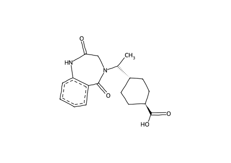 CC([C@H]1CC[C@H](C(=O)O)CC1)N1CC(=O)Nc2ccccc2C1=O